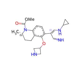 COC(=O)N1c2ccc(/C(C=N)=C/NC3CC3)c(OC3CNC3)c2CC[C@@H]1C